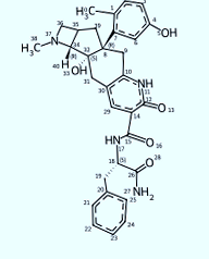 Cc1ccc(O)cc1[C@@]12Cc3[nH]c(=O)c(C(=O)N[C@@H](Cc4ccccc4)C(N)=O)cc3C[C@@]1(O)[C@H]1C(CN1C)C2